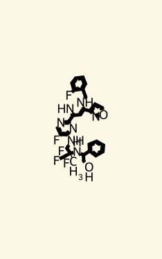 C[C@](CNc1nc(C(=N)/C=C(\NCc2ccccc2F)c2ccon2)ncc1F)(NC(CO)c1ccccc1)C(F)(F)F